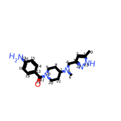 Cc1cc(CN(C)C2CCN(C(=O)c3ccc(N)cc3)CC2)n[nH]1